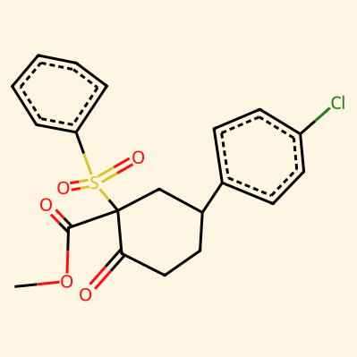 COC(=O)C1(S(=O)(=O)c2ccccc2)CC(c2ccc(Cl)cc2)CCC1=O